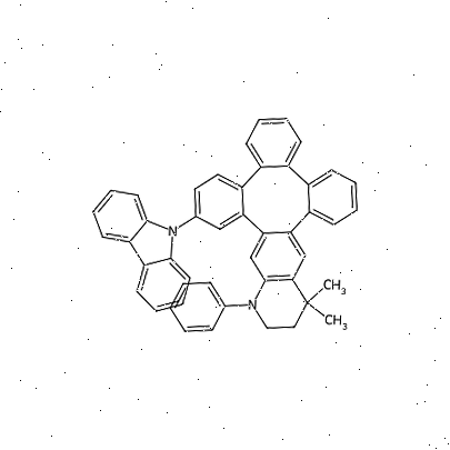 CC1(C)CCN(c2ccccc2)c2cc3c(cc21)-c1ccccc1-c1ccccc1-c1ccc(-n2c4ccccc4c4ccccc42)cc1-3